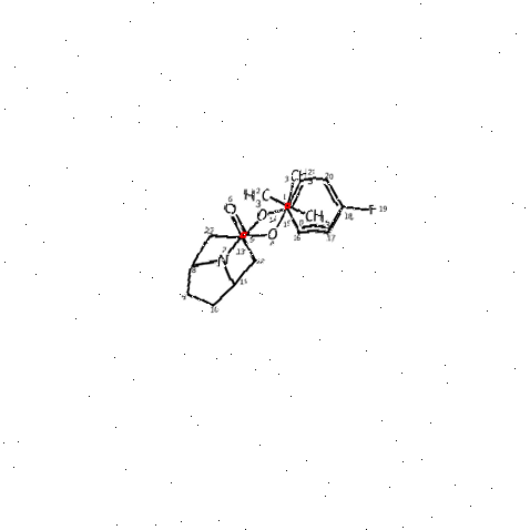 CC(C)(C)OC(=O)N1C2CCC1CC(Oc1ccc(F)cc1)C2